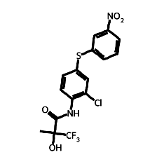 CC(O)(C(=O)Nc1ccc(Sc2cccc([N+](=O)[O-])c2)cc1Cl)C(F)(F)F